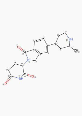 CC1CC(c2ccc3c(c2)CN(C2CCC(=O)NC2=O)C3=O)CCN1